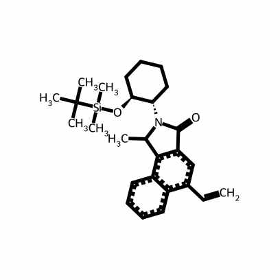 C=Cc1cc2c(c3ccccc13)C(C)N([C@H]1CCCC[C@@H]1O[Si](C)(C)C(C)(C)C)C2=O